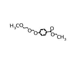 CCOC(=O)c1ccc(OCOCCOC)cc1